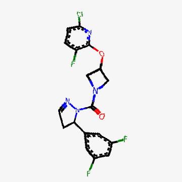 O=C(N1CC(Oc2nc(Cl)ccc2F)C1)N1N=CCC1c1cc(F)cc(F)c1